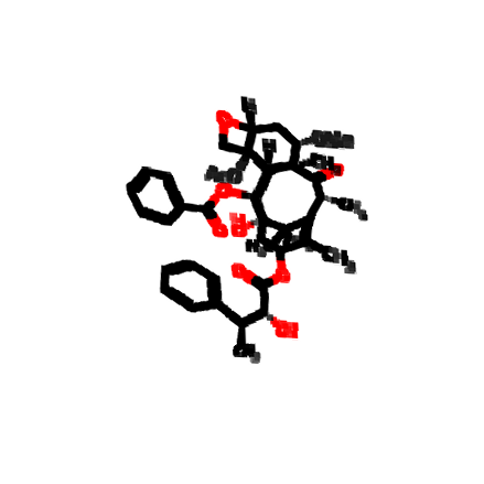 CO[C@H]1C[C@H]2OC[C@@]2(OC(C)=O)[C@H]2[C@H](OC(=O)c3ccccc3)[C@]3(O)CC(OC(=O)[C@H](O)[C@@H](C)c4ccccc4)C(C)=C([C@@H](C)C(=O)[C@]12C)C3(C)C